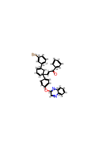 O=C(/C=C/C1(c2ccc(Oc3cnc4ccccc4n3)cc2)C=CC=C(c2cccc(Br)c2)C1)c1ccccc1